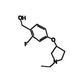 CCN1CCC(Oc2ccc(CO)c(F)c2)C1